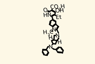 CCc1c(-c2ccc3c(c2)cc(CN2C[C@H]4CC(N(Cc5ccccc5)Cc5ccccc5)C[C@H]4C2)n3C)[nH]c(=O)c(C(=O)O)c1O